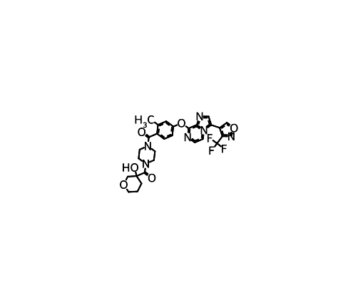 Cc1cc(Oc2nccn3c(-c4conc4C(F)(F)F)cnc23)ccc1C(=O)N1CCN(C(=O)C2(O)CCCOC2)CC1